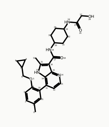 Cc1ccc(OCC2CC2)c(-c2ccnc3c(C(=O)NC4CCC(NC(=O)CO)CC4)c(C)[nH]c23)c1